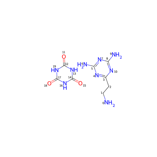 NCCc1nc(N)nc(N)n1.O=c1[nH]c(=O)[nH]c(=O)[nH]1